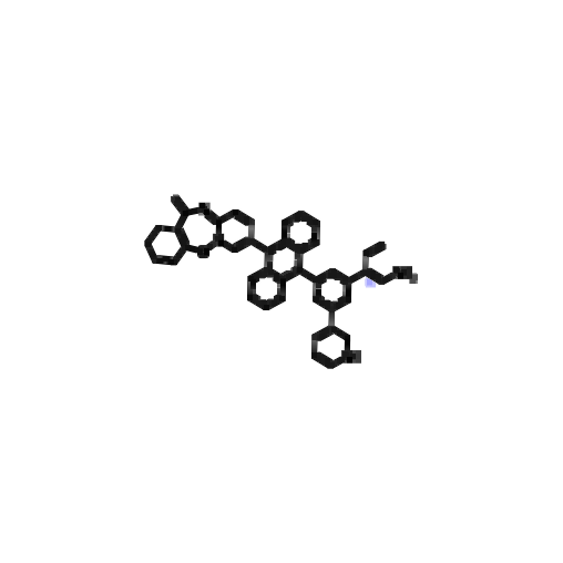 C=C/C(=C\N)c1cc(C2=CC=CNC2)cc(-c2c3ccccc3c(C3=CN4OC5=C(CCC=C5)C(=C)N=C4C=C3)c3ccccc23)c1